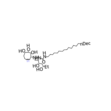 CCCCCCCCCCCCCCCCCCCCCCCCNC(=O)NC(CNC1/C=C\CCC(O)C(O)C1O)C(O)CC(O)CC